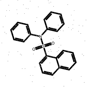 O=S(=O)(c1cccc2ccccc12)N(c1ccccc1)c1ccccc1